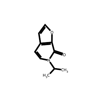 CC(C)n1ccc2ccoc2c1=O